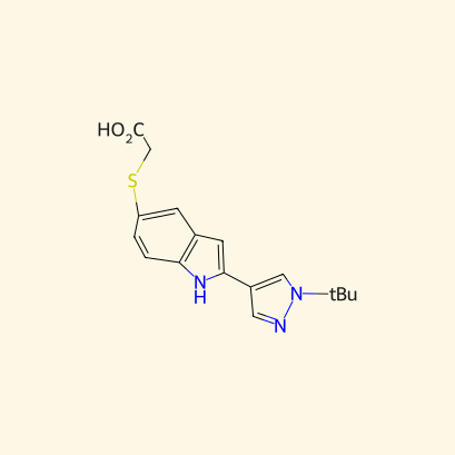 CC(C)(C)n1cc(-c2cc3cc(SCC(=O)O)ccc3[nH]2)cn1